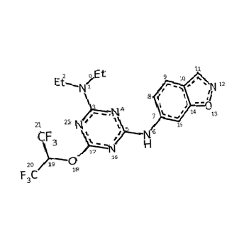 CCN(CC)c1nc(Nc2ccc3cnoc3c2)nc(OC(C(F)(F)F)C(F)(F)F)n1